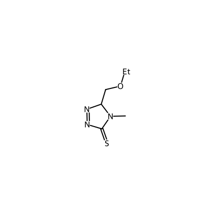 CCOCC1N=NC(=S)N1C